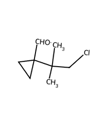 CC(C)(CCl)C1([C]=O)CC1